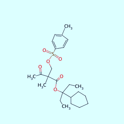 CCC(CC)(OC(=O)C(C)(COS(=O)(=O)c1ccc(C)cc1)C(C)=O)C1CCCCC1